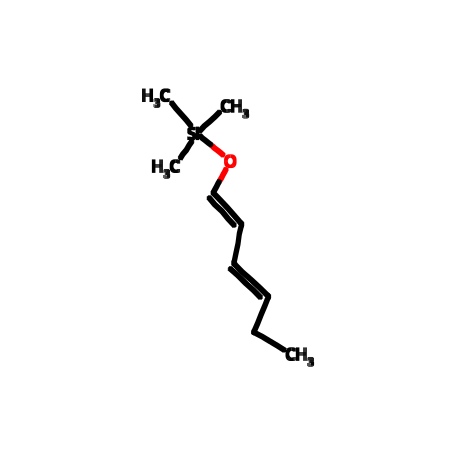 CCC=CC=CO[Si](C)(C)C